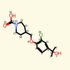 CC(C)(O)c1ccc(OCC2CCN(C(=O)O)CC2)c(Cl)c1